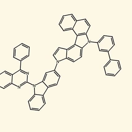 c1ccc(-c2cccc(-n3c4ccc5ccccc5c4c4c5ccn(-c6ccc7c8ccccc8n(-c8nc(-c9ccccc9)c9ccccc9n8)c7c6)c5ccc43)c2)cc1